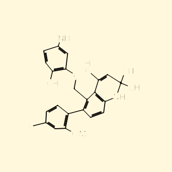 COc1cc(F)ccc1-c1ccc2c(c1COc1cc(N)ccc1C)C(C)=CC(C)(C)N2